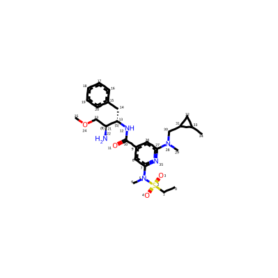 CCS(=O)(=O)N(C)c1cc(C(=O)N[C@@H](Cc2ccccc2)[C@@H](N)COC)cc(N(C)CC2CC2C)n1